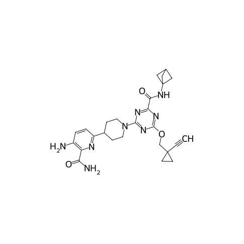 C#CC1(COc2nc(C(=O)NC34CC(C3)C4)nc(N3CCC(c4ccc(N)c(C(N)=O)n4)CC3)n2)CC1